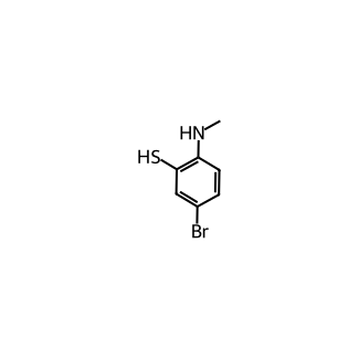 CNc1ccc(Br)cc1S